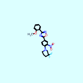 COc1ccccc1-c1noc(-c2ccc(N3CCCC(F)(F)C3)c([N+](=O)[O-])c2)n1